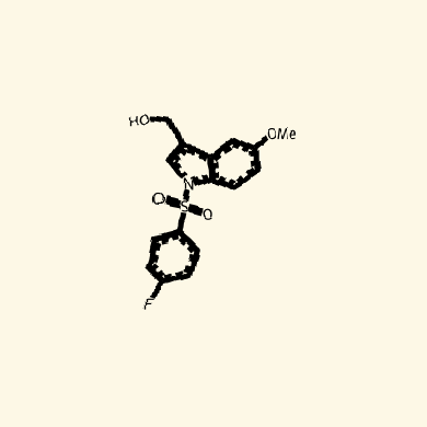 COc1ccc2c(c1)c(CO)cn2S(=O)(=O)c1ccc(F)cc1